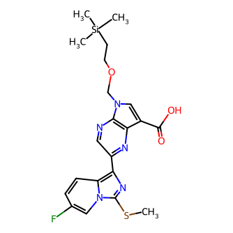 CSc1nc(-c2cnc3c(n2)c(C(=O)O)cn3COCC[Si](C)(C)C)c2ccc(F)cn12